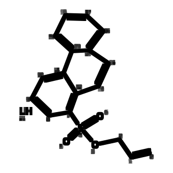 C=CCOS(=O)(=O)c1cccc2c1ccc1ccccc12.[LiH]